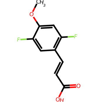 COc1cc(F)c(/C=C/C(=O)O)cc1F